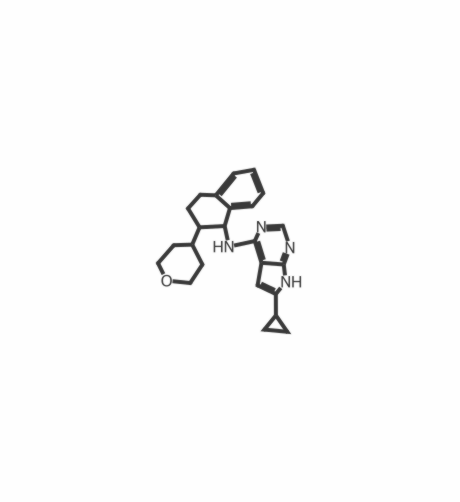 c1ccc2c(c1)CCC(C1CCOCC1)C2Nc1ncnc2[nH]c(C3CC3)cc12